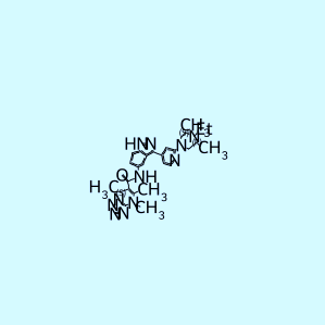 CCN1[C@H](C)CN(c2cc(-c3n[nH]c4ccc(NC(=O)C5=C(C)N(C)c6nnnn6[C@H]5C)cc34)ccn2)C[C@@H]1C